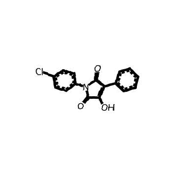 O=C1C(O)=C(c2ccccc2)C(=O)N1c1ccc(Cl)cc1